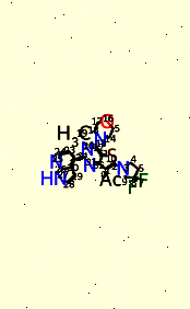 CC(=O)c1c(N2CCC(F)(F)C2)sc2c(N3CCOC[C@H]3C)nc(-c3ccnc4[nH]ccc34)nc12